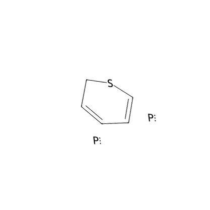 C1=CCSC=C1.[P].[P]